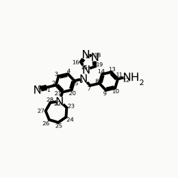 N#Cc1ccc(N(Cc2ccc(N)cc2)n2cnnc2)cc1N1CCCCCC1